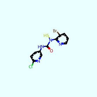 O=C(Nc1ccc(Cl)nc1)N(S)c1ncccc1Br